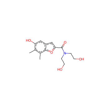 Cc1c(O)cc2cc(C(=O)N(CCO)CCO)oc2c1C